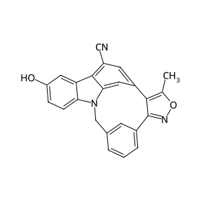 Cc1onc2c1-c1cc(C#N)c3c4cc(O)ccc4n(c3c1)Cc1cccc-2c1